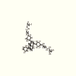 CN(C)CCCN=Cc1ccc(-c2nc(-c3ccc(C=NCCCN(C)C)cc3)c3cnn(-c4ccccc4)c3n2)cc1